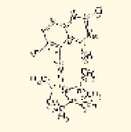 CC(C)[Si](C#Cc1c(F)ccc2nc(Cl)nc(O)c12)(C(C)C)C(C)C